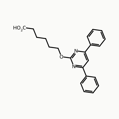 O=C(O)CCCCCOc1nc(-c2ccccc2)cc(-c2ccccc2)n1